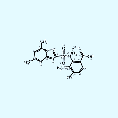 Cc1cc(C)n2nc(S(=O)(=O)N(C)c3c(C(=O)O)ccc(Cl)c3C)nc2n1